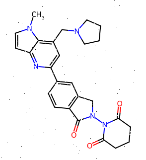 Cn1ccc2nc(-c3ccc4c(c3)CN(N3C(=O)CCCC3=O)C4=O)cc(CN3CCCC3)c21